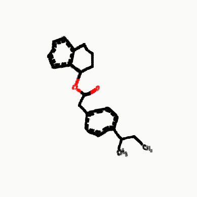 CCC(C)c1ccc(CC(=O)OC2CCCc3ccccc32)cc1